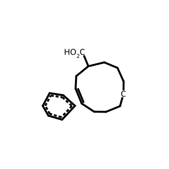 O=C(O)C1CC=CCCCCCCC1.c1ccccc1